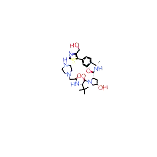 C[C@H](NC(=O)[C@@H]1C[C@@H](O)CN1C(=O)[C@@H](NC(=O)CN1CCNCC1)C(C)(C)C)c1ccc(-c2scnc2CO)cc1